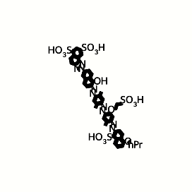 CCCOc1cccc2c(S(=O)(=O)O)c(N=Nc3cc(OCCCS(=O)(=O)O)c(N=Nc4cc(C)c(N=Nc5ccc6cc(-n7nc8ccc9c(c8n7)C=C(S(=O)(=O)O)CC9S(=O)(=O)O)ccc6c5O)cc4C)cc3C)ccc12